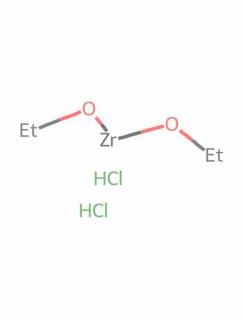 CC[O][Zr][O]CC.Cl.Cl